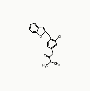 CC(C)C(=O)Cc1ccc(Cc2nc3ccccc3o2)c(Cl)c1